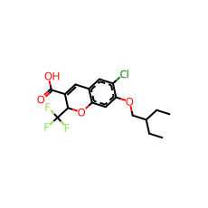 CCC(CC)COc1cc2c(cc1Cl)C=C(C(=O)O)C(C(F)(F)F)O2